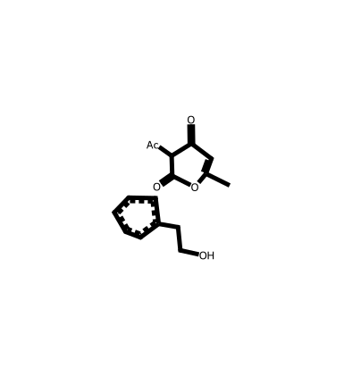 CC(=O)C1C(=O)C=C(C)OC1=O.OCCc1ccccc1